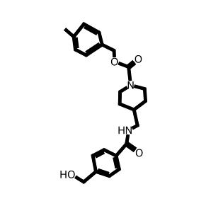 Cc1ccc(COC(=O)N2CCC(CNC(=O)c3ccc(CO)cc3)CC2)cc1